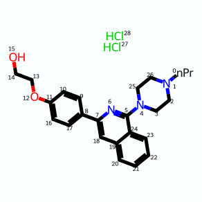 CCCN1CCN(c2nc(-c3ccc(OCCO)cc3)cc3ccccc23)CC1.Cl.Cl